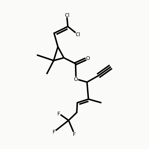 C#CC(OC(=O)C1C(C=C(Cl)Cl)C1(C)C)C(C)=CCC(F)(F)F